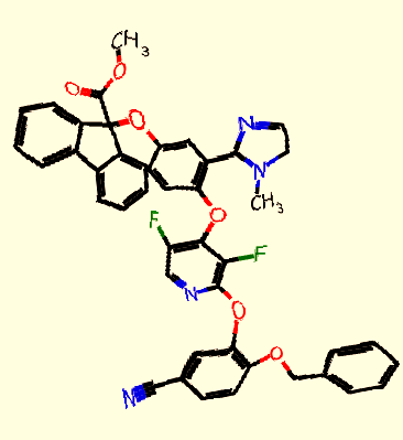 COC(=O)C1(Oc2ccc(Oc3c(F)cnc(Oc4cc(C#N)ccc4OCc4ccccc4)c3F)c(C3N=CCN3C)c2)c2ccccc2-c2ccccc21